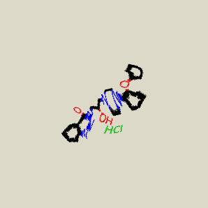 Cl.O=c1c2ccccc2nnn1CC(O)CN1CCN(c2ccccc2OC2CCCC2)CC1